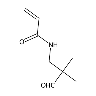 C=CC(=O)NCC(C)(C)C=O